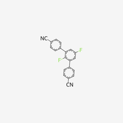 N#Cc1ccc(-c2cc(F)cc(-c3ccc(C#N)cc3)c2F)cc1